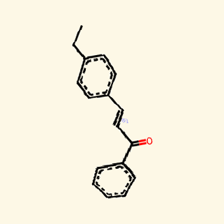 CCc1ccc(/C=C/C(=O)c2ccccc2)cc1